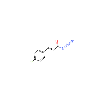 [N-]=[N+]=NC(=O)C=Cc1ccc(F)cc1